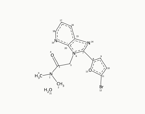 CN(C)C(=O)Cn1c(-c2ccc(Br)o2)nc2cccnc21.O